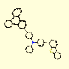 c1ccc(N(c2ccc(-c3ccc4c5ccccc5c5ccccc5c4c3)cc2)c2ccc(-c3cccc4c3sc3ccccc34)cc2)cc1